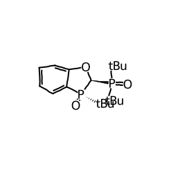 CC(C)(C)P(=O)([C@@H]1Oc2ccccc2[P@@]1(=O)C(C)(C)C)C(C)(C)C